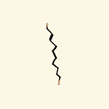 BrC/C=C/CCCCCCCBr